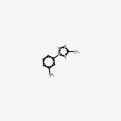 Cc1nnn(-c2cccc(N)c2)n1